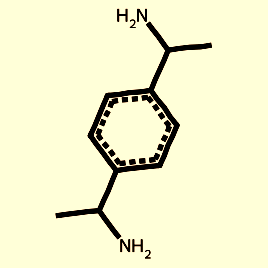 CC(N)c1ccc(C(C)N)cc1